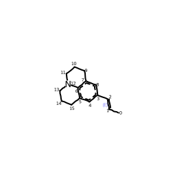 C/C=C/c1cc2c3c(c1)CCCN3CCC2